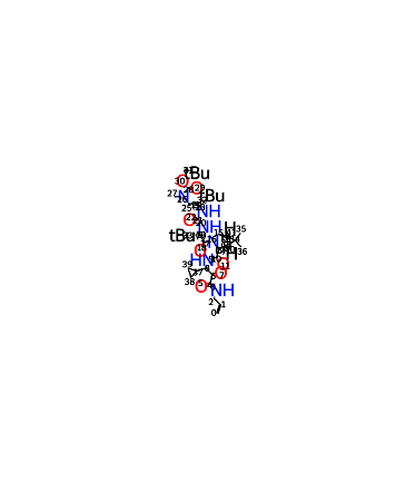 C=CCNC(=O)C(=O)C(NC(=O)[C@@H]1[C@@H]2[C@H](CN1C(=O)[C@@H](NC(=O)N[C@H](CN(C)C(=O)OC(C)(C)C)C(C)(C)C)C(C)(C)C)C2(C)C)C1CC1